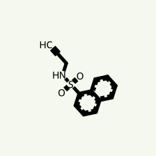 C#CCNS(=O)(=O)c1cccc2ccccc12